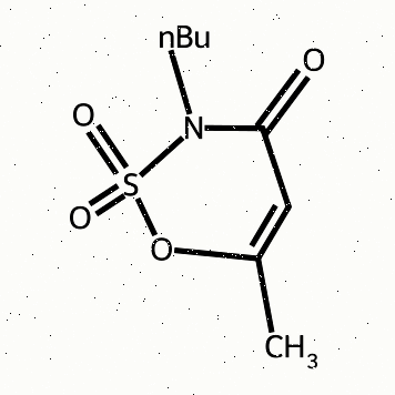 CCCCN1C(=O)C=C(C)OS1(=O)=O